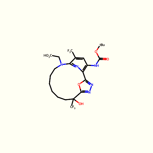 CC(C)(C)OC(=O)Nc1cc(C(F)(F)F)c2nc1-c1nnc(o1)C(O)(C(F)(F)F)CCCCCCN2CC(=O)O